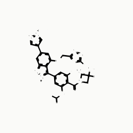 COc1cc(-c2c3c(OCc4nnc(C)o4)cc(-c4cnn(C)c4)cc3nn2C)cc(OC(F)F)c1C(=O)N1CC(O)(C(F)(F)F)C1